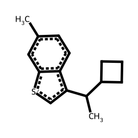 Cc1ccc2c(C(C)C3CCC3)csc2c1